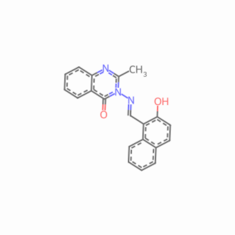 Cc1nc2ccccc2c(=O)n1N=Cc1c(O)ccc2ccccc12